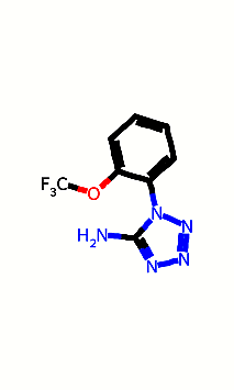 Nc1nnnn1-c1ccccc1OC(F)(F)F